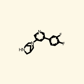 Fc1ccc(-c2cncc(N3CC4CNC(C4)C3)c2)cc1F